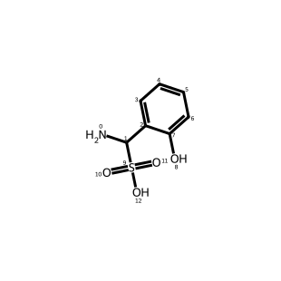 NC(c1ccccc1O)S(=O)(=O)O